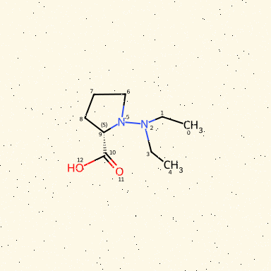 CCN(CC)N1CCC[C@H]1C(=O)O